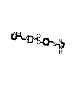 O=C(Oc1ccc(CSc2ncc[nH]2)cc1)N1CCN(CCc2ccc[nH]2)CC1